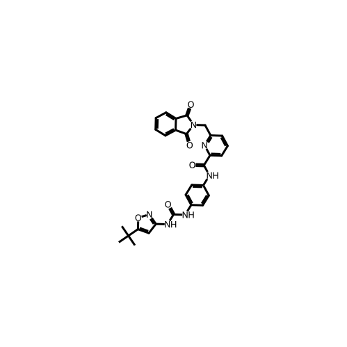 CC(C)(C)c1cc(NC(=O)Nc2ccc(NC(=O)c3cccc(CN4C(=O)c5ccccc5C4=O)n3)cc2)no1